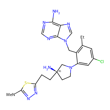 CCc1cc(Cl)cc(N2CC[C@](N)(CCc3nnc(NC)s3)C2)c1Cn1cnc2c(N)ncnc21